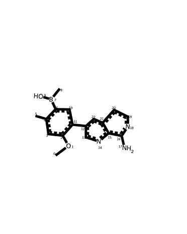 COc1cc(C)c(B(C)O)cc1-c1cnc2c(N)nccc2c1